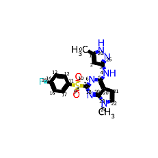 Cc1cc(Nc2nc(S(=O)(=O)c3ccc(F)cc3)nc3c2ccn3C)n[nH]1